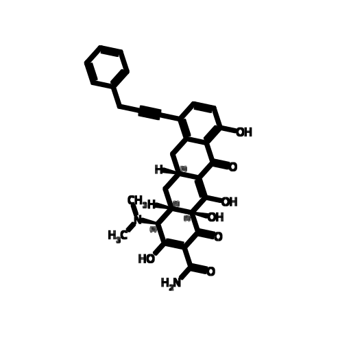 CN(C)[C@@H]1C(O)=C(C(N)=O)C(=O)[C@@]2(O)C(O)=C3C(=O)c4c(O)ccc(C#CCc5ccccc5)c4C[C@H]3C[C@@H]12